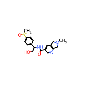 CN1Cc2cc(C(=O)NC(CO)c3ccc([S+](C)[O-])cc3)cnc2C1